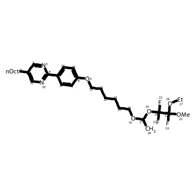 CCCCCCCCc1cnc(-c2ccc(OCCCCCCOC(C)OC(F)(F)C(F)(OC)OCC)cc2)nc1